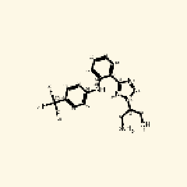 NCC(CO)n1nnc(-c2ccccc2Nc2ccc(C(F)(F)F)cc2)n1